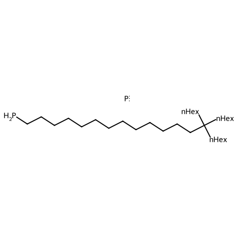 CCCCCCC(CCCCCC)(CCCCCC)CCCCCCCCCCCCCP.[P]